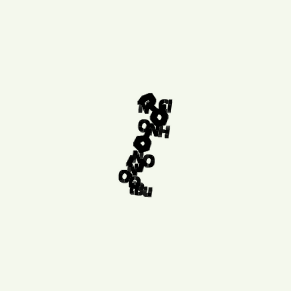 CC(C)(C)OC(=O)N1CCN(c2ccc(C(=O)Nc3ccc(Cl)c(-c4ccccn4)c3)cc2)C(=O)C1